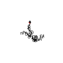 CCCOCCOC(=O)C(C)(CC(C)C(=O)OCCOC(C)COCCC1=CCC2CC1C2(C)C)CC(CC(C)(COS(=O)(=O)NO)C(=O)O)C(=O)OCC